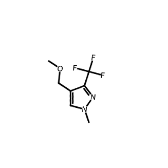 COCc1cn(C)nc1C(F)(F)F